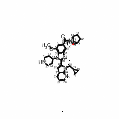 COc1cc(C(=O)N2CC3CCC2[C@@H]3N)cc2nc(-c3cc4cccnc4n3CC3CC3)n(C3CCNCC3)c12